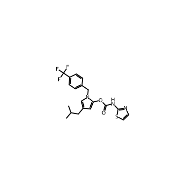 CC(C)Cc1cc(OC(=O)Nc2nccs2)n(Cc2ccc(C(F)(F)F)cc2)c1